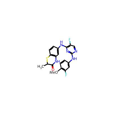 COc1ccc(Nc2ncc(F)c(Nc3ccc4c(c3)NC(=O)C(C)S4)n2)cc1F